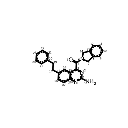 Nc1nc(C(=O)N2Cc3ccccc3C2)c2cc(CCc3ccccc3)ccc2n1